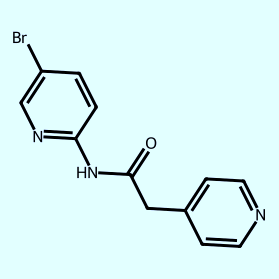 O=C(Cc1ccncc1)Nc1ccc(Br)cn1